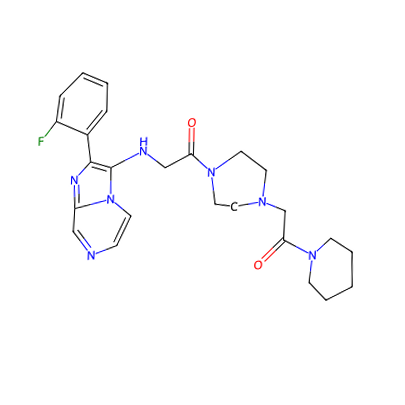 O=C(CNc1c(-c2ccccc2F)nc2cnccn12)N1CCN(CC(=O)N2CCCCC2)CC1